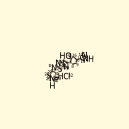 CN(c1nn2cc(-c3ccc(-c4cn[nH]c4)cc3O)nc2s1)C1CC(C)(C)NC(C)(C)C1.Cl